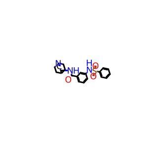 O=C(NC1CN2CCC1CC2)c1cccc(NS(=O)(=O)c2ccccc2)c1